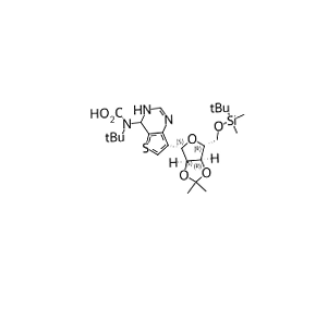 CC1(C)O[C@@H]2[C@H](O1)[C@@H](CO[Si](C)(C)C(C)(C)C)O[C@H]2c1csc2c1N=CNC2N(C(=O)O)C(C)(C)C